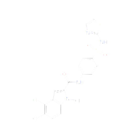 Cn1c(C(=O)Nc2ccc(S(=O)(=O)Nc3nccs3)cc2)cc2c(Cl)c(Cl)ccc21